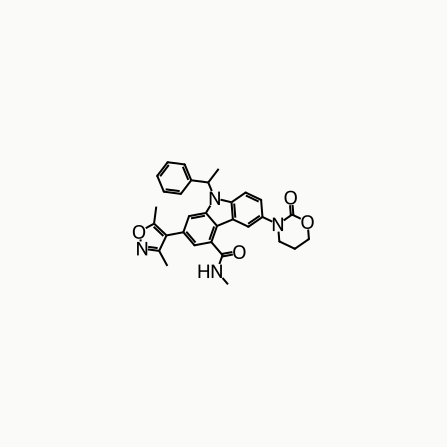 CNC(=O)c1cc(-c2c(C)noc2C)cc2c1c1cc(N3CCCOC3=O)ccc1n2C(C)c1ccccc1